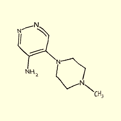 CN1CCN(c2cnncc2N)CC1